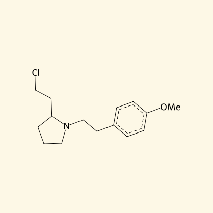 COc1ccc(CCN2CCCC2CCCl)cc1